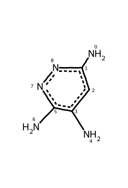 Nc1cc(N)c(N)nn1